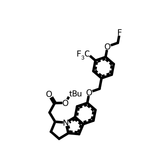 CC(C)(C)OC(=O)CC1CCc2cc3ccc(OCc4ccc(OCF)c(C(F)(F)F)c4)cc3n21